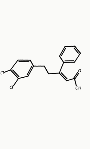 O=C(O)C=C(CCc1ccc(Cl)c(Cl)c1)c1ccccc1